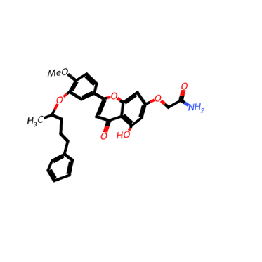 COc1ccc(-c2cc(=O)c3c(O)cc(OCC(N)=O)cc3o2)cc1OC(C)CCCc1ccccc1